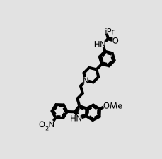 COc1ccc2[nH]c(-c3cccc([N+](=O)[O-])c3)c(CCCN3CCC(c4cccc(NC(=O)C(C)C)c4)CC3)c2c1